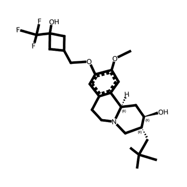 COc1cc2c(cc1OCC1CC(O)(C(F)(F)F)C1)CCN1C[C@@H](CC(C)(C)C)[C@H](O)C[C@H]21